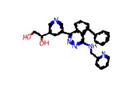 OCC(O)c1cncc(-c2nnc(NCc3ccccn3)c3c(-c4ccccc4)cccc23)c1